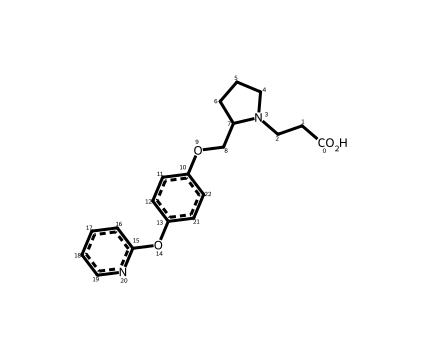 O=C(O)CCN1CCCC1COc1ccc(Oc2ccccn2)cc1